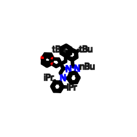 CCCCn1c(-c2cc(C(C)(C)C)cc(C(C)(C)C)c2)[n+]2c3c(cccc31)N(c1c(C(C)C)cccc1C(C)C)CC2C(Cc1ccccc1)(Cc1ccccc1)Cc1ccccc1